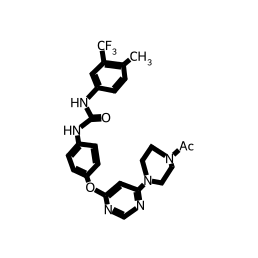 CC(=O)N1CCN(c2cc(Oc3ccc(NC(=O)Nc4ccc(C)c(C(F)(F)F)c4)cc3)ncn2)CC1